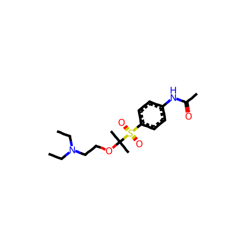 CCN(CC)CCOC(C)(C)S(=O)(=O)c1ccc(NC(C)=O)cc1